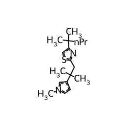 CCCC(C)(C)c1csc(CC(C)(C)c2ccn(C)c2)n1